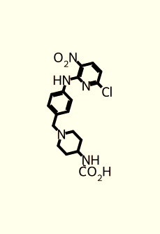 O=C(O)NC1CCN(Cc2ccc(Nc3nc(Cl)ccc3[N+](=O)[O-])cc2)CC1